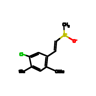 COc1cc(C(C)(C)C)c(Cl)cc1C=C[S+](C)[O-]